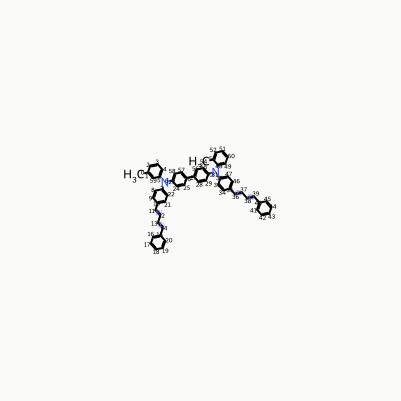 Cc1cccc(N(c2ccc(/C=C/C=C/c3ccccc3)cc2)c2ccc(-c3ccc(N(c4ccc(/C=C/C=C/c5ccccc5)cc4)c4ccccc4C)cc3)cc2)c1